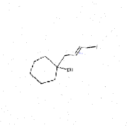 OC1(C/C=C/I)CCCCC1